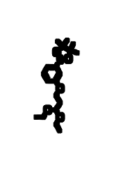 CCOC(CCOc1cccc(B2OC(C)(C)C(C)(C)O2)c1)OCC